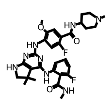 CNC(=O)c1c(F)cccc1Nc1nc(Nc2cc(F)c(C(=O)NC3CCN(C)CC3)cc2OC)nc2c1C(C)(C)CN2